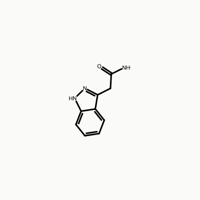 [NH]C(=O)Cc1n[nH]c2ccccc12